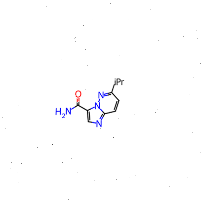 CC(C)c1ccc2ncc(C(N)=O)n2n1